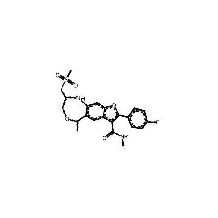 CNC(=O)c1c(-c2ccc(F)cc2)oc2cc3c(cc12)C(C)OCC(CS(C)(=O)=O)N3